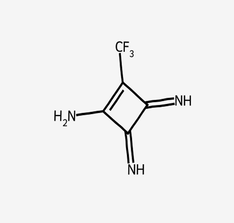 N=c1c(N)c(C(F)(F)F)c1=N